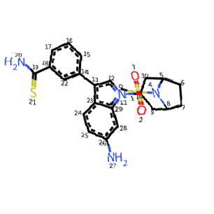 CS(=O)(=O)N1C2CCC1CC(n1cc(-c3cccc(C(N)=S)c3)c3ccc(N)cc31)C2